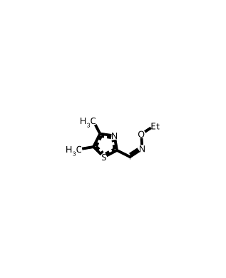 CCO/N=[C]\c1nc(C)c(C)s1